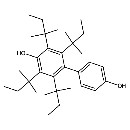 CCC(C)(C)c1c(O)c(C(C)(C)CC)c(C(C)(C)CC)c(-c2ccc(O)cc2)c1C(C)(C)CC